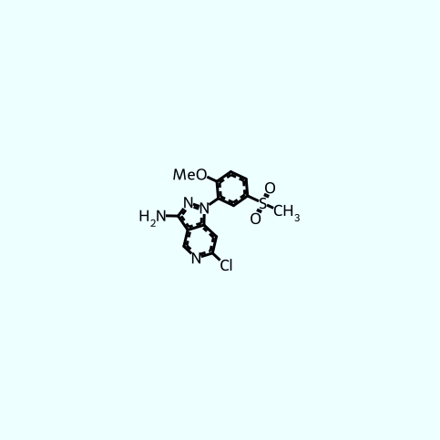 COc1ccc(S(C)(=O)=O)cc1-n1nc(N)c2cnc(Cl)cc21